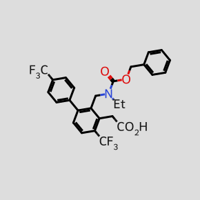 CCN(Cc1c(-c2ccc(C(F)(F)F)cc2)ccc(C(F)(F)F)c1CC(=O)O)C(=O)OCc1ccccc1